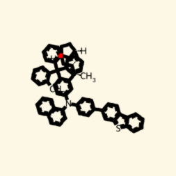 Cc1ccccc1C(c1ccccc1)(c1ccccc1)c1ccc(N(c2ccc(-c3ccc4c(c3)sc3ccccc34)cc2)c2cccc3ccccc23)cc1[C@@H](C)[C@H]1C[C@@H]2CC[C@@H](C2)C1